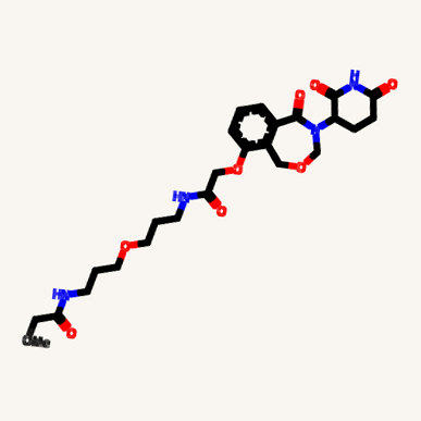 COCC(=O)NCCCOCCCNC(=O)COc1cccc2c1COCN(C1CCC(=O)NC1=O)C2=O